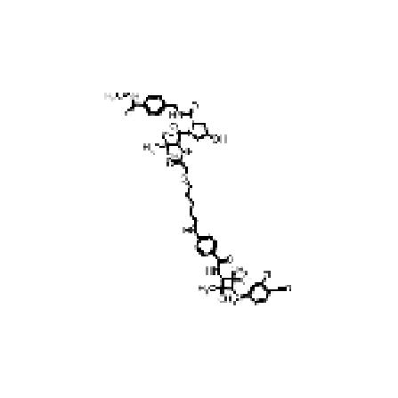 CNC(=O)c1ccc(CNC(=O)[C@@H]2C[C@@H](O)CN2C(=O)C(NC(=O)COCCCCCNc2ccc(C(=O)N[C@H]3C(C)(C)[C@H](Oc4ccc(C#N)c(Cl)c4)C3(C)C)cc2)C(C)(C)C)cc1